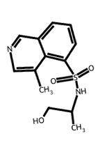 Cc1cncc2cccc(S(=O)(=O)NC(C)CO)c12